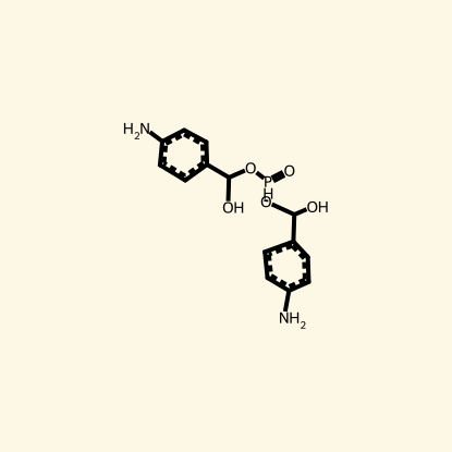 Nc1ccc(C(O)O[PH](=O)OC(O)c2ccc(N)cc2)cc1